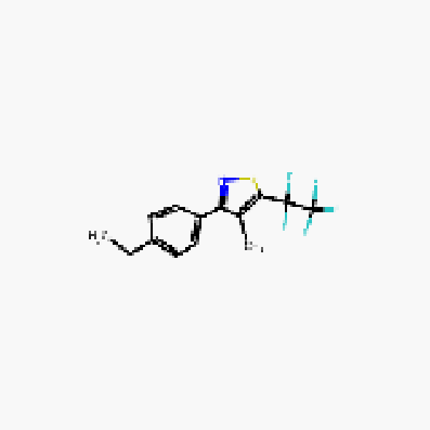 CCc1ccc(-c2nsc(C(F)(F)C(F)(F)F)c2C)cc1